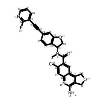 CN(C(=O)c1cc2c3c(c(N)nc2cc1Cl)COC3)[C@@H]1COc2cc(C#Cc3cccnc3F)ccc21